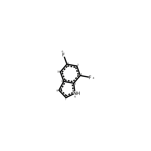 Fc1cc(F)c2[nH][c]cc2c1